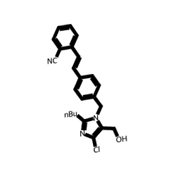 CCCCc1nc(Cl)c(CO)n1Cc1ccc(C=Cc2ccccc2C#N)cc1